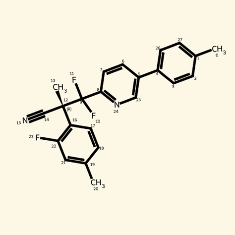 Cc1ccc(-c2ccc(C(F)(F)[C@@](C)(C#N)c3ccc(C)cc3F)nc2)cc1